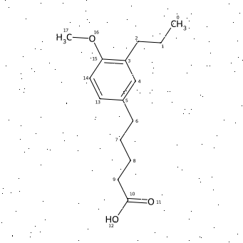 CCCc1cc(CCCCC(=O)O)ccc1OC